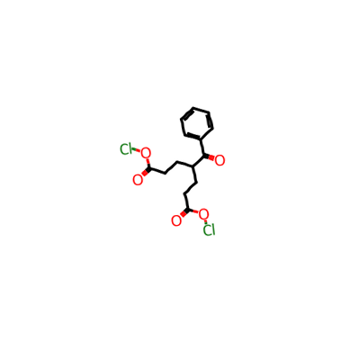 O=C(CCC(CCC(=O)OCl)C(=O)c1ccccc1)OCl